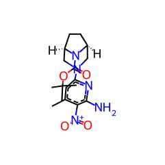 Cc1cc(N2C[C@H]3CC[C@@H](C2)N3C(=O)OC(C)(C)C)nc(N)c1[N+](=O)[O-]